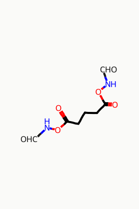 O=CNOC(=O)CCCC(=O)ONC=O